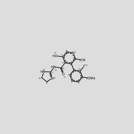 COc1cccc(-c2c(C#N)ncc(O)c2C(=O)NC2=NCCN2)c1F